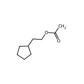 [CH2]C(=O)OCCC1CCCC1